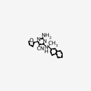 C[C@H](Nc1nc(N)nc(-c2ccco2)c1C#N)c1ccc2ccccc2c1